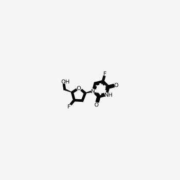 O=c1[nH]c(=O)n([C@H]2CC(F)[C@@H](CO)O2)cc1F